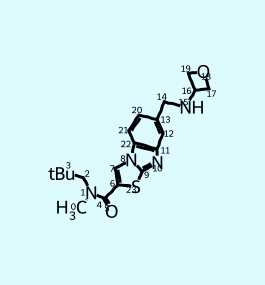 CN(CC(C)(C)C)C(=O)c1cn2c(nc3cc(CNC4COC4)ccc32)s1